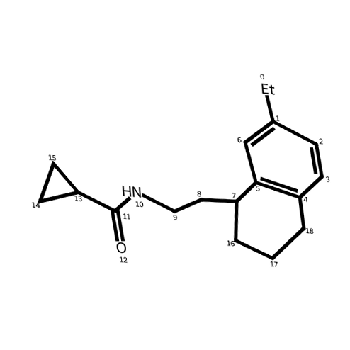 CCc1ccc2c(c1)C(CCNC(=O)C1CC1)CCC2